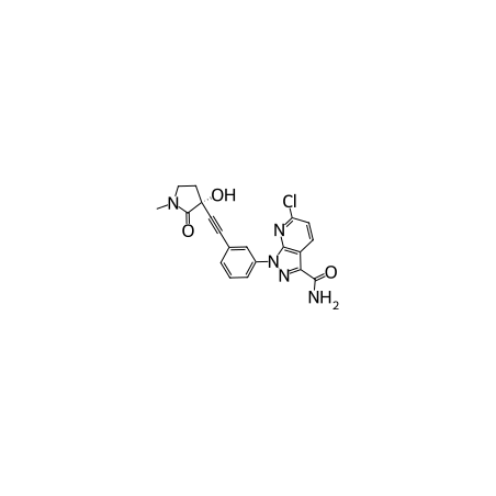 CN1CC[C@@](O)(C#Cc2cccc(-n3nc(C(N)=O)c4ccc(Cl)nc43)c2)C1=O